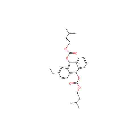 CCc1ccc2c(OC(=O)OCCC(C)C)c3ccccc3c(OC(=O)OCCC(C)C)c2c1